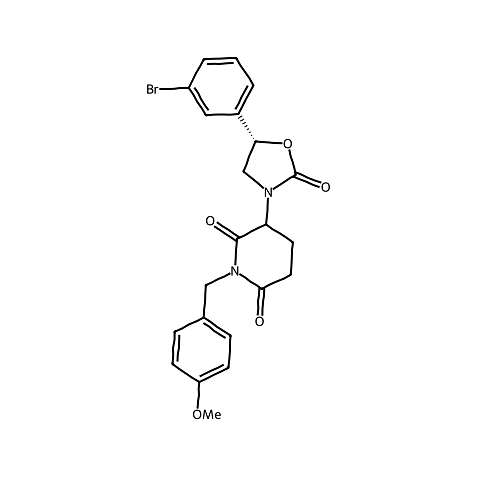 COc1ccc(CN2C(=O)CCC(N3C[C@H](c4cccc(Br)c4)OC3=O)C2=O)cc1